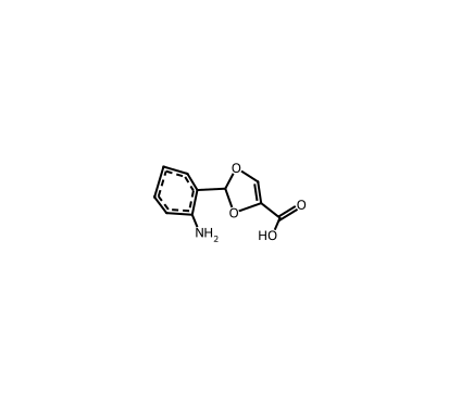 Nc1ccccc1C1OC=C(C(=O)O)O1